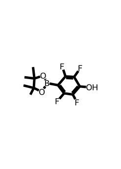 CC1(C)OB(c2c(F)c(F)c(O)c(F)c2F)OC1(C)C